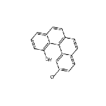 Oc1cccc2ccc3ccc4ccc(Cl)cc4c3c12